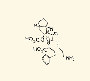 NCCCC[C@H](NC(CCc1ccccc1)C(=O)O)C(=O)N1[C@@H](OC(=O)O)C[C@@H]2CCC[C@@H]21